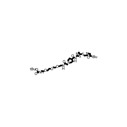 CC(C)(C)OC(=O)NCCOCCOCCOCCNC(=O)CN1CCC(C(=O)Nc2ncc(SCc3ncc(C(C)(C)C)o3)s2)CC1